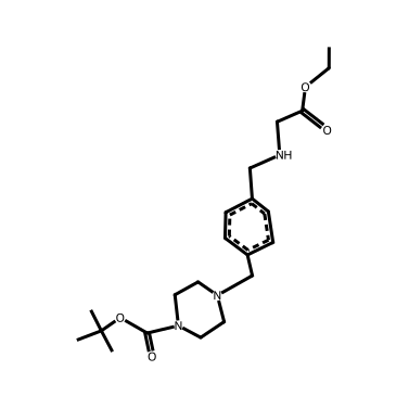 CCOC(=O)CNCc1ccc(CN2CCN(C(=O)OC(C)(C)C)CC2)cc1